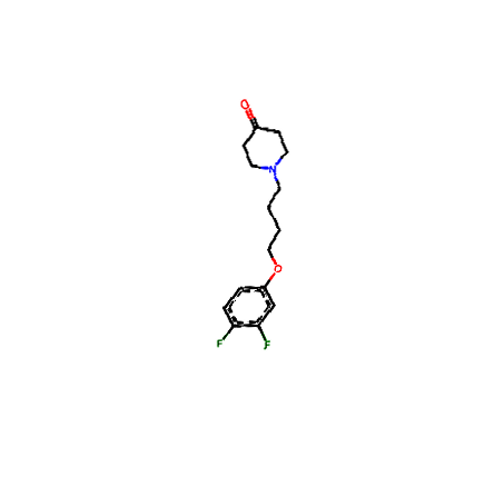 O=C1CCN(CCCCOc2ccc(F)c(F)c2)CC1